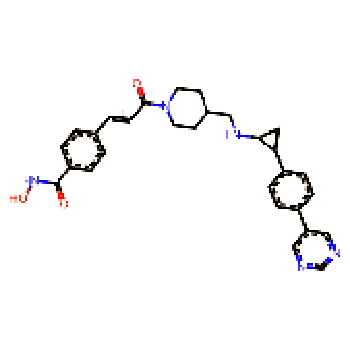 O=C(NO)c1ccc(/C=C/C(=O)N2CCC(CNC3CC3c3ccc(-c4cncnc4)cc3)CC2)cc1